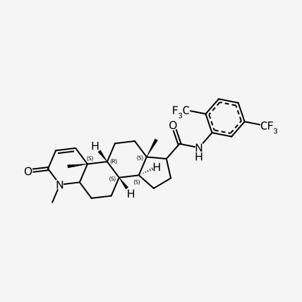 CN1C(=O)C=C[C@@]2(C)C1CC[C@@H]1[C@H]2CC[C@]2(C)C(C(=O)Nc3cc(C(F)(F)F)ccc3C(F)(F)F)CC[C@@H]12